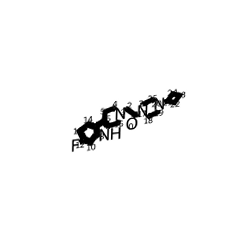 O=C(CN1CCc2c([nH]c3cc(F)ccc23)C1)N1CCN(C2CCC2)CC1